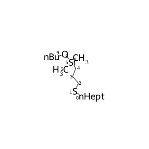 CCCCCCCSCCC[Si](C)(C)OCCCC